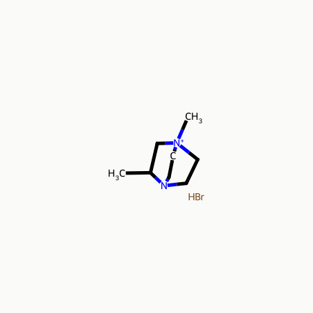 Br.CC1C[N+]2(C)CCN1CC2